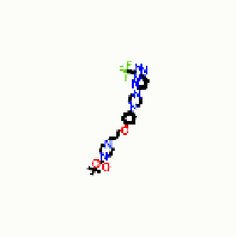 CC(C)(C)OC(=O)N1CCN(CCCOc2ccc(N3CCN(c4ccc5nnc(C(F)(F)F)n5n4)CC3)cc2)CC1